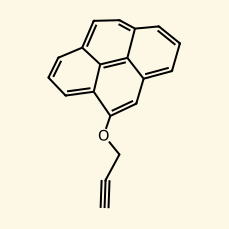 C#CCOc1cc2cccc3ccc4cccc1c4c32